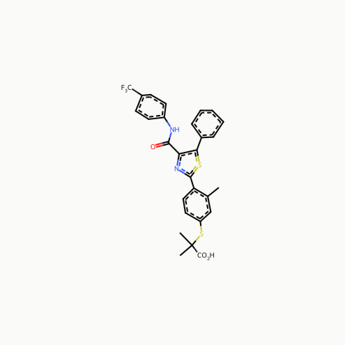 Cc1cc(SC(C)(C)C(=O)O)ccc1-c1nc(C(=O)Nc2ccc(C(F)(F)F)cc2)c(-c2ccccc2)s1